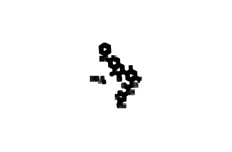 CS(=O)(=O)O.Cc1cc(F)c(NC(=O)Nc2cc(C(C)(C)C)no2)cc1-c1cc2cnc(Nc3ccccc3)cc2n(C)c1=O